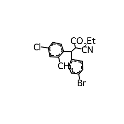 CCOC(=O)C(C#N)C(c1ccc(Br)cc1)c1ccc(Cl)cc1C